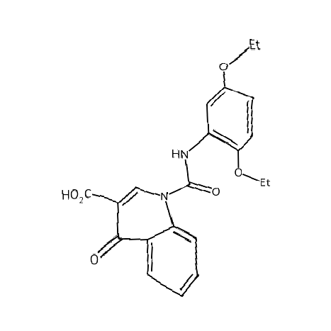 CCOc1ccc(OCC)c(NC(=O)n2cc(C(=O)O)c(=O)c3ccccc32)c1